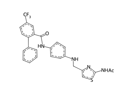 CC(=O)Nc1nc(CNc2ccc(NC(=O)c3cc(C(F)(F)F)ccc3-c3ccccc3)cc2)cs1